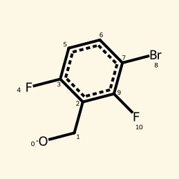 [O]Cc1c(F)ccc(Br)c1F